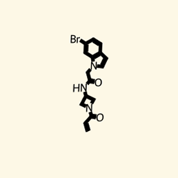 C=CC(=O)N1CC(NC(=O)Cn2ccc3ccc(Br)cc32)C1